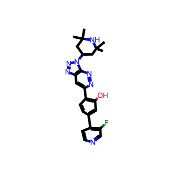 CC1(C)CC(n2nnc3cc(-c4ccc(-c5ccncc5F)cc4O)nnc32)CC(C)(C)N1